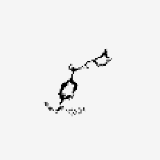 CC(C)(C)N(C(=O)O)c1ccc(C(=O)NCC2CCOCC2)cn1